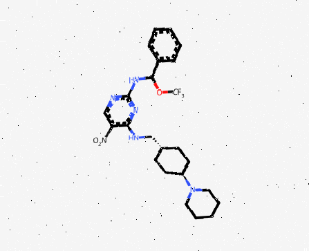 O=[N+]([O-])c1cnc(NC(OC(F)(F)F)c2ccccc2)nc1NC[C@H]1CC[C@H](N2CCCCC2)CC1